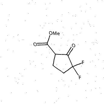 COC(=O)C1CCC(F)(F)C1=O